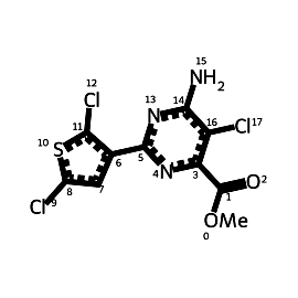 COC(=O)c1nc(-c2cc(Cl)sc2Cl)nc(N)c1Cl